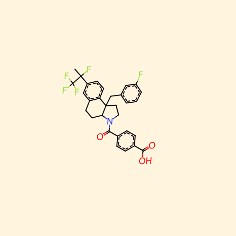 CC(F)(c1ccc2c(c1)CCC1N(C(=O)c3ccc(C(=O)O)cc3)CCC21Cc1cccc(F)c1)C(F)(F)F